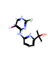 CC(C)(O)c1cccc(Nc2nc(Cl)ncc2I)n1